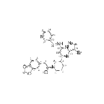 O=C(Cc1ccc2c(c1)OCO2)N1CCCC(c2cc(NCc3cccnc3)n3ncc(Br)c3n2)C1